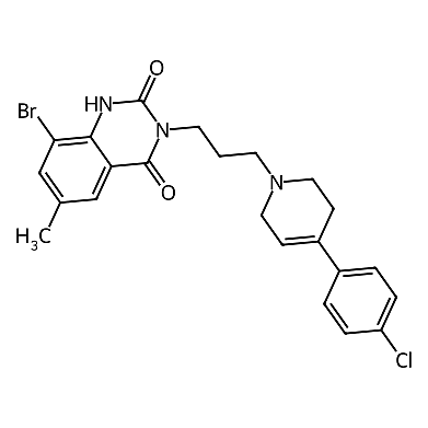 Cc1cc(Br)c2[nH]c(=O)n(CCCN3CC=C(c4ccc(Cl)cc4)CC3)c(=O)c2c1